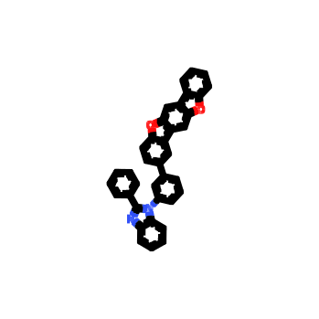 c1ccc(-c2nc3ccccc3n2-c2cccc(-c3ccc4oc5cc6c(cc5c4c3)oc3ccccc36)c2)cc1